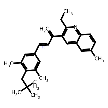 C=C(/C=C/c1cc(C)c(CC(C)(C)C)c(C)c1)c1cc2cc(C)ccc2nc1CC